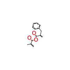 C=C(C)C(=O)OC(=O)C(=C)Cc1ccccc1